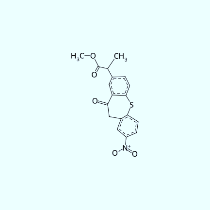 COC(=O)C(C)c1ccc2c(c1)C(=O)Cc1cc([N+](=O)[O-])ccc1S2